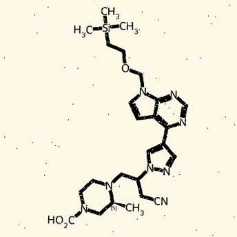 C[C@H]1CN(C(=O)O)CCN1CC(CC#N)n1cc(-c2ncnc3c2ccn3COCC[Si](C)(C)C)cn1